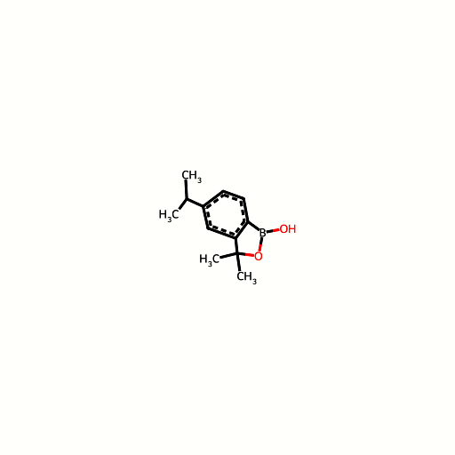 CC(C)c1ccc2c(c1)C(C)(C)OB2O